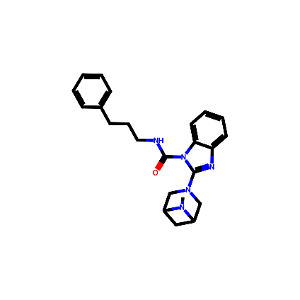 CN1C2CC1CN(c1nc3ccccc3n1C(=O)NCCCc1ccccc1)C2